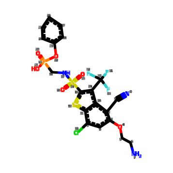 N#Cc1c(OCCN)cc(Cl)c2sc(S(=O)(=O)NCP(=O)(O)Oc3ccccc3)c(C(F)(F)F)c12